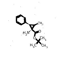 CC1[C@H](c2ccccc2)[C@]1(N)C(=O)OC(C)(C)C